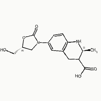 C[C@@H]1Nc2ccc(N3C[C@H](CO)OC3=O)cc2CC1C(=O)O